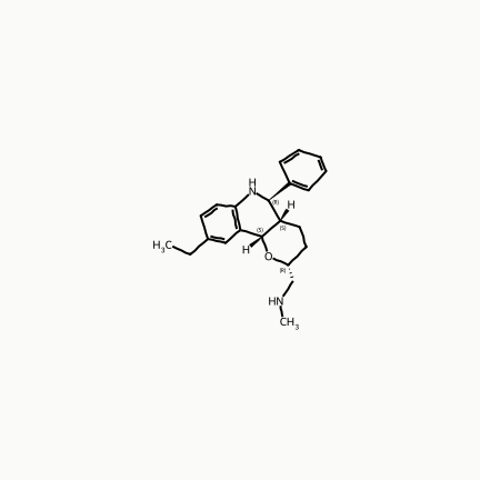 CCc1ccc2c(c1)[C@H]1O[C@@H](CNC)CC[C@H]1[C@H](c1ccccc1)N2